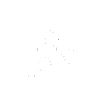 CC(C)(C)c1ccc([SH](c2ccccc2)c2ccccc2O)cc1